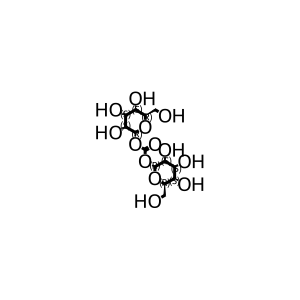 O=C(O[C@H]1O[C@H](CO)[C@@H](O)[C@H](O)[C@@H]1O)O[C@H]1O[C@H](CO)[C@@H](O)[C@H](O)[C@@H]1O